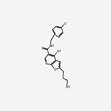 OCCCc1cc2c(S)c(C(=S)NCc3ccc(Cl)cc3)cnc2s1